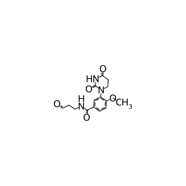 COc1ccc(C(=O)NCCC=O)cc1N1CCC(=O)NC1=O